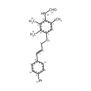 Cc1cc(OC/C=C/c2ccc(C(C)C)cc2)c(C)c(C)c1NC=O